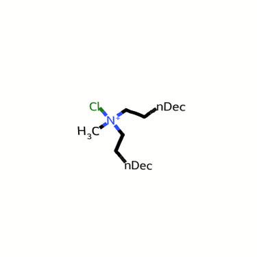 CCCCCCCCCCCC[N+](C)(Cl)CCCCCCCCCCCC